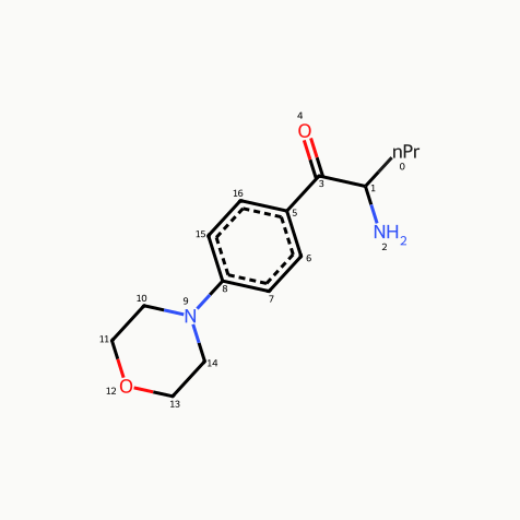 CCCC(N)C(=O)c1ccc(N2CCOCC2)cc1